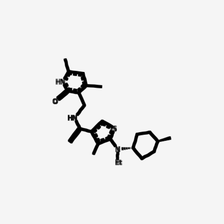 C=C(NCc1c(C)cc(C)[nH]c1=O)c1csc(N(CC)[C@H]2CC[C@H](C)CC2)c1C